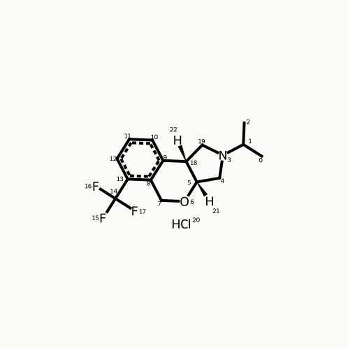 CC(C)N1C[C@@H]2OCc3c(cccc3C(F)(F)F)[C@@H]2C1.Cl